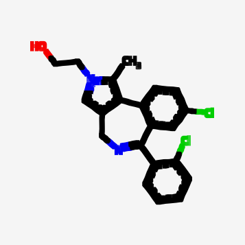 Cc1c2c(cn1CCO)CN=C(c1ccccc1Cl)c1cc(Cl)ccc1-2